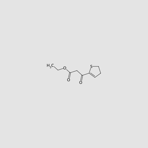 CCOC(=O)CC(=O)C1=CCCS1